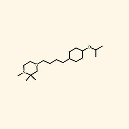 CC(C)OC1CCC(CCCCN2CCN(C)C(C)(C)C2)CC1